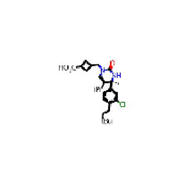 CC(C)C1=CN(CC2CC(C(=O)O)C2)C(=O)N[C@@]1(C)c1ccc(CCC(C)(C)C)c(Cl)c1